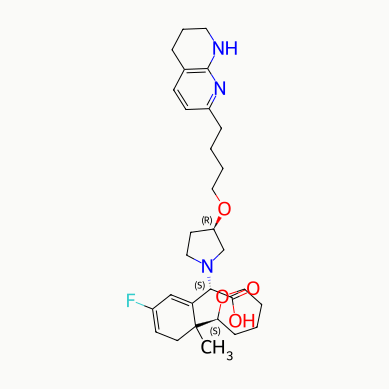 CC1([C@@H]2CCCCO2)CC=C(F)C=C1[C@@H](C(=O)O)N1CC[C@@H](OCCCCc2ccc3c(n2)NCCC3)C1